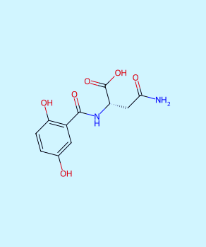 NC(=O)C[C@H](NC(=O)c1cc(O)ccc1O)C(=O)O